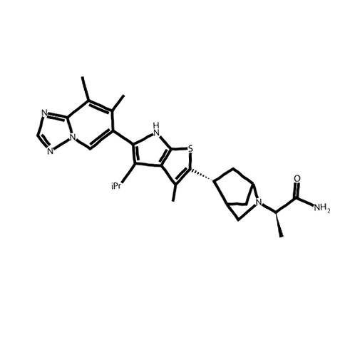 Cc1c(-c2[nH]c3sc([C@@H]4CC5CC4CN5[C@H](C)C(N)=O)c(C)c3c2C(C)C)cn2ncnc2c1C